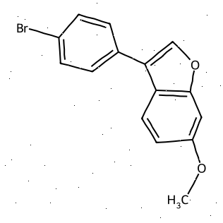 COc1ccc2c(-c3ccc(Br)cc3)coc2c1